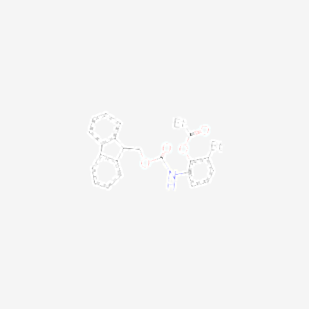 CCC(=O)Oc1c(CC)cccc1NC(=O)OCC1c2ccccc2-c2ccccc21